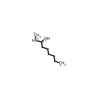 CCCCCCC(O)NC